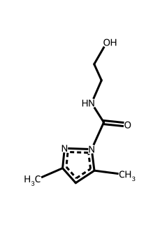 Cc1cc(C)n(C(=O)NCCO)n1